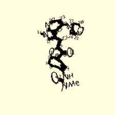 CNC(=O)Nc1ccc2c(c1)C(=O)C(=Cc1cn(C)c3nccc(N4CC5CC4CO5)c13)O2